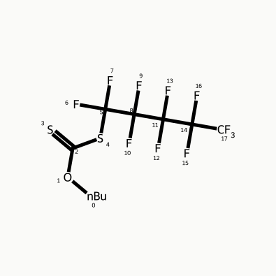 CCCCOC(=S)SC(F)(F)C(F)(F)C(F)(F)C(F)(F)C(F)(F)F